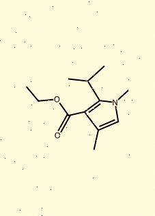 CCOC(=O)c1c(C)cn(C)c1C(C)C